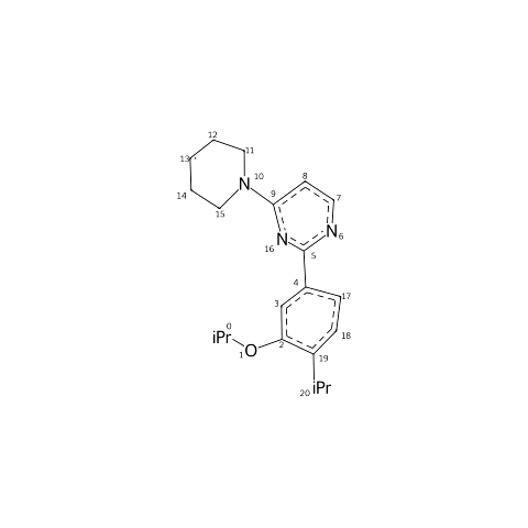 CC(C)Oc1cc(-c2nccc(N3CC[CH]CC3)n2)ccc1C(C)C